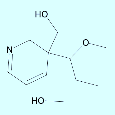 CCC(OC)C1(CO)C=CC=NC1.CO